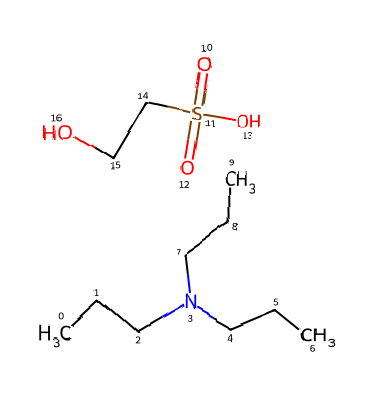 CCCN(CCC)CCC.O=S(=O)(O)CCO